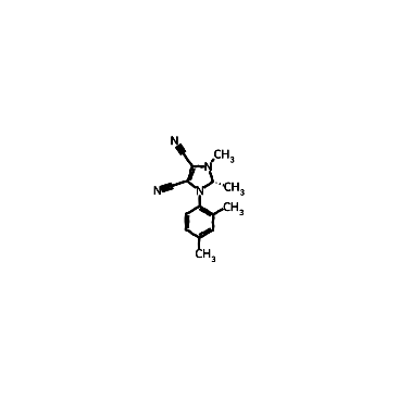 Cc1ccc(N2C(C#N)=C(C#N)N(C)[C@@H]2C)c(C)c1